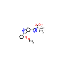 COCOc1ccccc1-c1cc2cc(-c3cn([C@H](C(=O)O)C(C)C)nn3)ccc2nn1